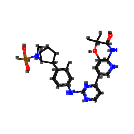 Cc1cc(Nc2nccc(-c3cnc4c(c3)OC(C)(C)C(=O)N4)n2)ccc1C1CC2CC1N(S(C)(=O)=O)C2